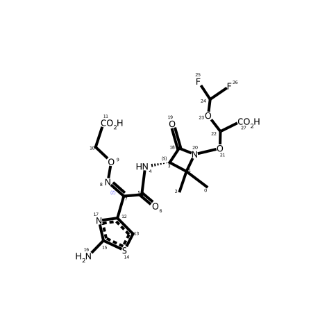 CC1(C)[C@H](NC(=O)/C(=N\OCC(=O)O)c2csc(N)n2)C(=O)N1OC(OC(F)F)C(=O)O